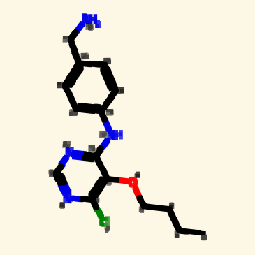 CCCCOc1c(Cl)ncnc1Nc1ccc(CN)cc1